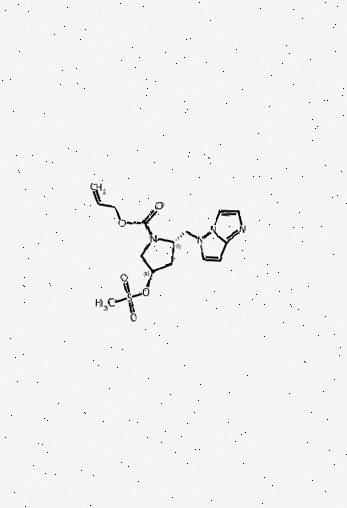 C=CCOC(=O)N1C[C@H](OS(C)(=O)=O)C[C@H]1Cn1ccc2nccn21